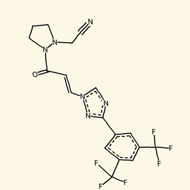 N#CCN1CCCN1C(=O)C=Cn1cnc(-c2cc(C(F)(F)F)cc(C(F)(F)F)c2)n1